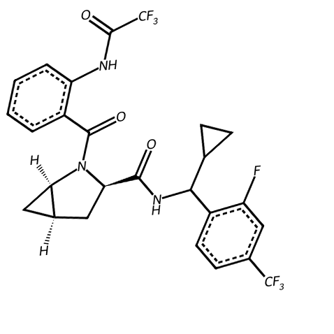 O=C(NC(c1ccc(C(F)(F)F)cc1F)C1CC1)[C@H]1C[C@H]2C[C@H]2N1C(=O)c1ccccc1NC(=O)C(F)(F)F